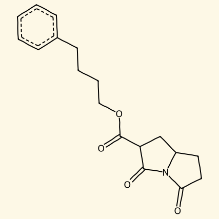 O=C(OCCCCc1ccccc1)C1CC2CCC(=O)N2C1=O